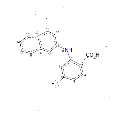 O=C(O)c1ccc(C(F)(F)F)cc1Nc1ccc2ccccc2c1